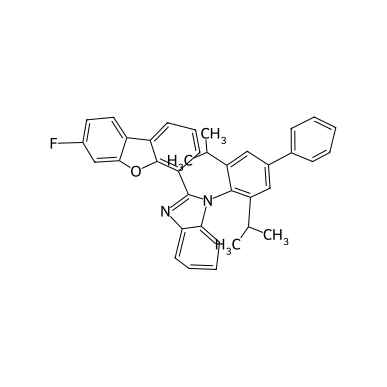 CC(C)c1cc(-c2ccccc2)cc(C(C)C)c1-n1c(-c2cccc3c2oc2cc(F)ccc23)nc2ccccc21